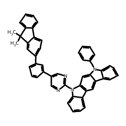 CC1(C)c2ccccc2-c2ccc(-c3cccc(-c4cnc(-n5c6ccccc6c6cc7c8ccccc8n(-c8ccccc8)c7cc65)nc4)c3)cc21